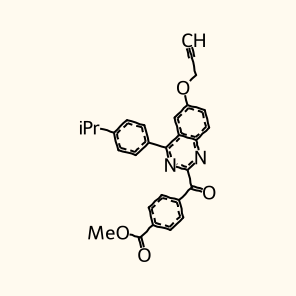 C#CCOc1ccc2nc(C(=O)c3ccc(C(=O)OC)cc3)nc(-c3ccc(C(C)C)cc3)c2c1